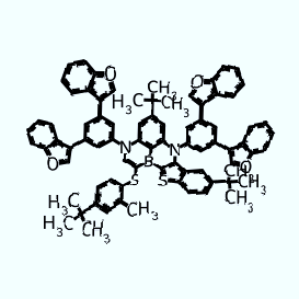 Cc1cc(C(C)(C)C)ccc1SC1=CN(c2cc(-c3coc4ccccc34)cc(-c3coc4ccccc34)c2)c2cc(C(C)(C)C)cc3c2B1c1sc2ccc(C(C)(C)C)cc2c1N3c1cc(-c2coc3ccccc23)cc(-c2coc3ccccc23)c1